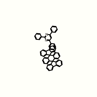 c1ccc(-c2cc(-c3ccc(-c4cccc5c4C4(c6ccccc6-c6ccccc64)c4ccccc4C54c5ccccc5-c5ccccc54)cc3)nc(-c3ccccc3)n2)cc1